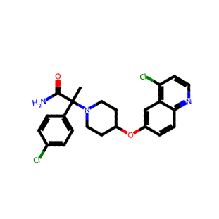 CC(C(N)=O)(c1ccc(Cl)cc1)N1CCC(Oc2ccc3nccc(Cl)c3c2)CC1